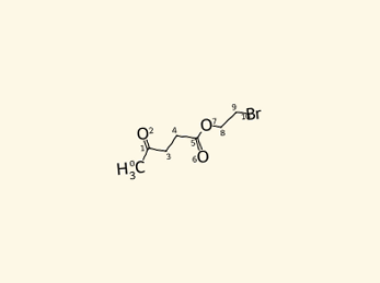 CC(=O)CCC(=O)OCCBr